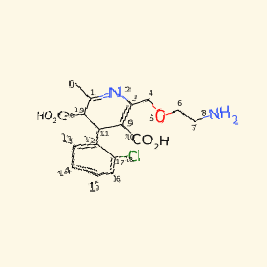 CC1=NC(COCCN)=C(C(=O)O)C(c2ccccc2Cl)C1C(=O)O